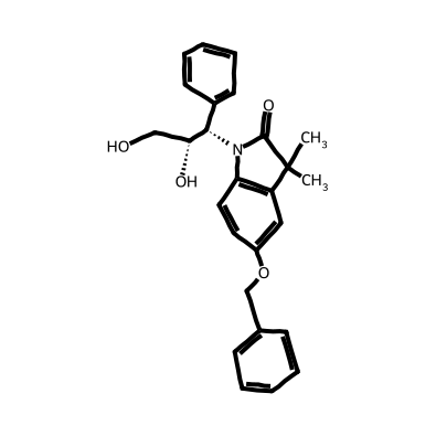 CC1(C)C(=O)N([C@@H](c2ccccc2)[C@H](O)CO)c2ccc(OCc3ccccc3)cc21